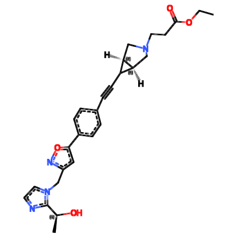 CCOC(=O)CCN1C[C@@H]2C(C#Cc3ccc(-c4cc(Cn5ccnc5[C@H](C)O)no4)cc3)[C@@H]2C1